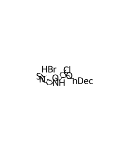 Br.CCCCCCCCCCCCOc1cc(CC(=O)Nc2ccc(CN3CSC=C3C)cc2)ccc1Cl